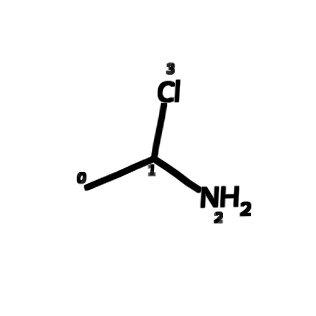 CC(N)Cl